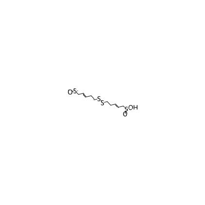 O=[S]C/C=C/CCSSCC/C=C/CS(=O)O